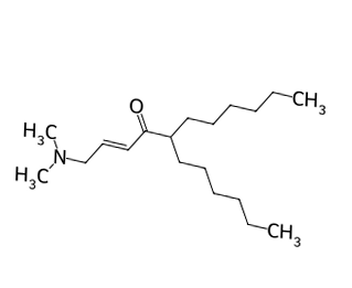 CCCCCCC(CCCCCC)C(=O)/C=C/CN(C)C